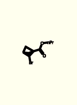 CCCOC(=O)C12CC(C1)C2Br